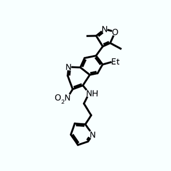 CCc1cc2c(NCCc3ccccn3)c([N+](=O)[O-])cnc2cc1-c1c(C)noc1C